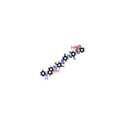 Cc1cc(N=Nc2ccc3cc(Nc4ccccc4)ccc3c2O)c(C)cc1N=Nc1ccc(N=Nc2c(C)cc(N=Nc3ccccc3S(=O)(=O)O)cc2C)c(C)c1